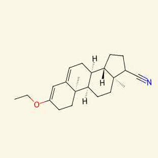 CCOC1=CC2=CC[C@@H]3[C@@H](CC[C@]4(C)C(C#N)CC[C@@H]34)[C@@]2(C)CC1